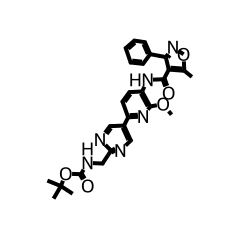 COc1nc(-c2cnc(CNC(=O)OC(C)(C)C)nc2)ccc1NC(=O)c1c(-c2ccccc2)noc1C